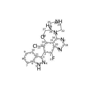 Fc1c(-c2n[nH]c3ccccc23)c(Cl)c2c3c(ncnc13)N1CCNC[C@H]1CO2